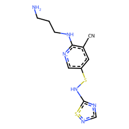 N#Cc1cc(SNc2ncns2)cnc1NCCCN